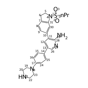 CCCS(=O)(=O)N1CCc2ccc(-c3cc(-c4ccc(N5CCNCC5)cc4)cnc3N)cc21